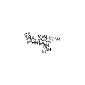 CCNc1nc(-c2cc(OC)cc(OC)c2)c(-c2ccnc(Nc3ccc(N4CCOCC4)c(F)c3)n2)o1